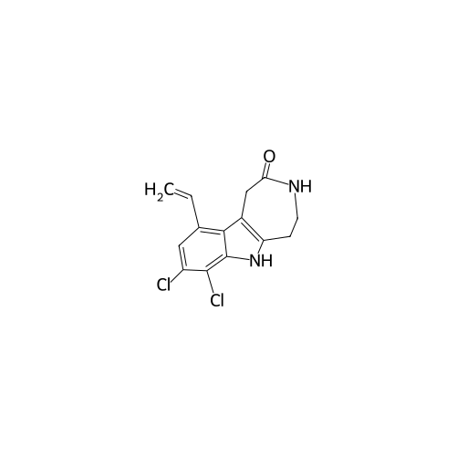 C=Cc1cc(Cl)c(Cl)c2[nH]c3c(c12)CC(=O)NCC3